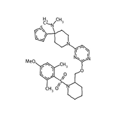 COc1cc(C)c(S(=O)(=O)N2CCCCC2COc2nccc(N3CCC(c4cccs4)(N(C)C)CC3)n2)c(C)c1